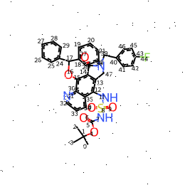 CC(C)(C)OC(=O)NS(=O)(=O)Nc1c2c(c(OC(c3ccccc3)c3ccccc3)c3ncccc13)C(=O)N(Cc1ccc(F)cc1)C2